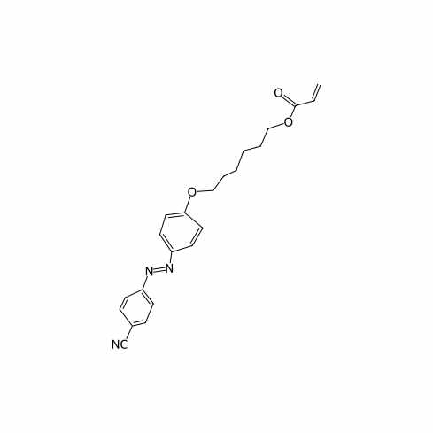 C=CC(=O)OCCCCCCOc1ccc(/N=N/c2ccc(C#N)cc2)cc1